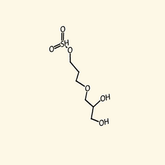 O=[SH](=O)OCCCOCC(O)CO